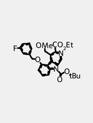 CCOC(=O)c1ncc2c(c1COC)c1c(OCc3cccc(F)c3)cccc1n2C(=O)OC(C)(C)C